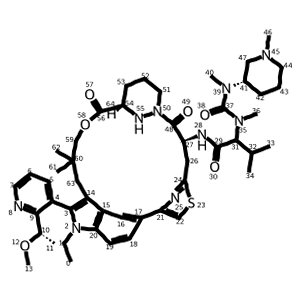 CCn1c(-c2cccnc2[C@H](C)OC)c2c3cc(ccc31)-c1csc(n1)C[C@H](NC(=O)C(C(C)C)N(C)C(=O)N(C)[C@H]1CCCN(C)C1)C(=O)N1CCC[C@H](N1)C(=O)OCC(C)(C)C2